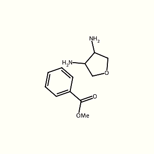 COC(=O)c1ccccc1.NC1COCC1N